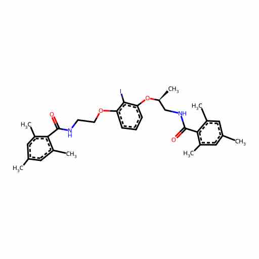 Cc1cc(C)c(C(=O)NCCOc2cccc(O[C@@H](C)CNC(=O)c3c(C)cc(C)cc3C)c2I)c(C)c1